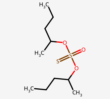 CCCC(C)OS(=O)(=S)OC(C)CCC